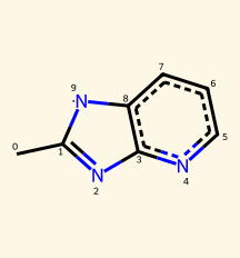 CC1=Nc2ncccc2[N]1